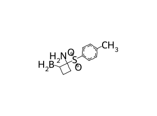 BC1CCC1(N)S(=O)(=O)c1ccc(C)cc1